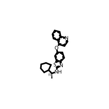 C[C@H](Nc1nc2ccc(Oc3ccnc4ccccc34)cc2s1)C1CCCCC1